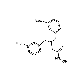 COc1cccc(CN(CC(=O)NO)Cc2cccc(C(=O)O)c2)c1